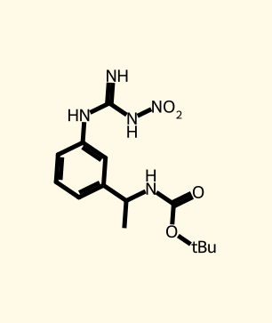 CC(NC(=O)OC(C)(C)C)c1cccc(NC(=N)N[N+](=O)[O-])c1